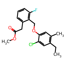 CCc1cc(Cl)c(OCc2c(F)cccc2CC(=O)OC)cc1C